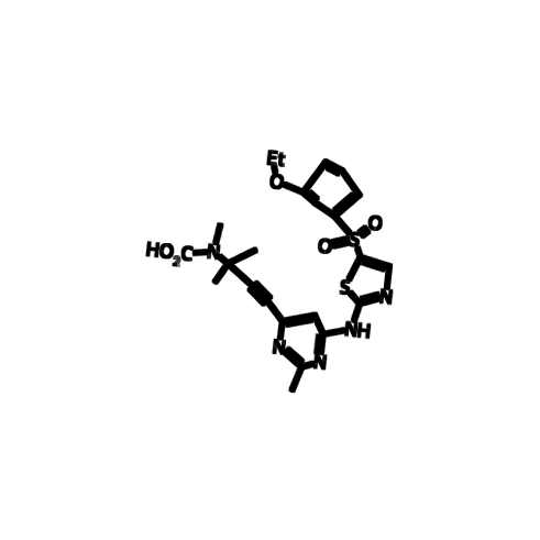 CCOc1cccc(S(=O)(=O)c2cnc(Nc3cc(C#CC(C)(C)N(C)C(=O)O)nc(C)n3)s2)c1